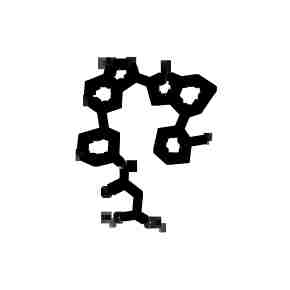 CC(C)CC(=O)Nc1cncc(-c2cc3c(-c4cc5c(-c6ccccc6F)cccc5[nH]4)n[nH]c3cn2)c1